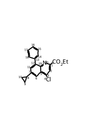 CCOC(=O)c1cc(Cl)c2cc(C3CC3)cc(-c3ccccc3)c2n1